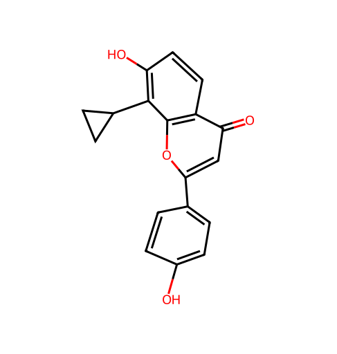 O=c1cc(-c2ccc(O)cc2)oc2c(C3CC3)c(O)ccc12